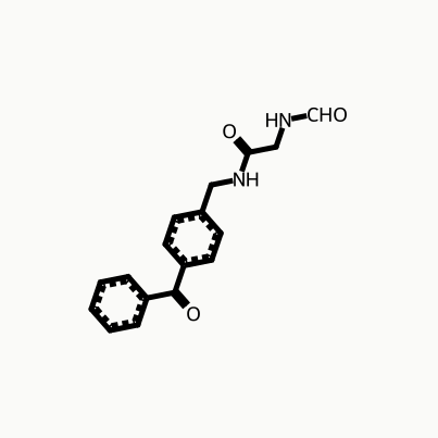 O=CNCC(=O)NCc1ccc(C(=O)c2ccccc2)cc1